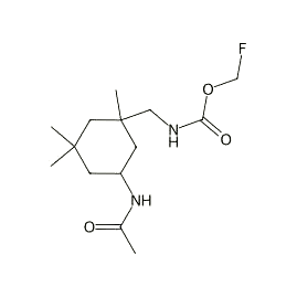 CC(=O)NC1CC(C)(C)CC(C)(CNC(=O)OCF)C1